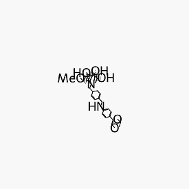 COC[C@@H]1[C@@H](O)[C@H](O)[C@@H](O)CN1CC1C=CC(CNc2ccc(C3=COCCO3)cc2)=CC1